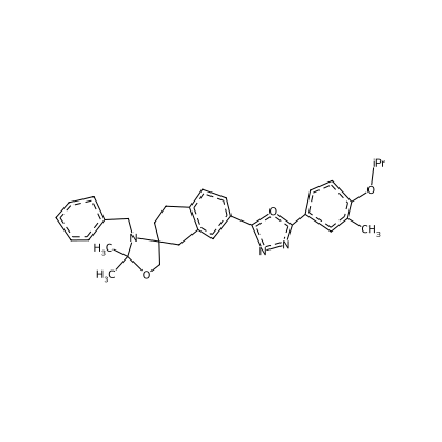 Cc1cc(-c2nnc(-c3ccc4c(c3)CC3(CC4)COC(C)(C)N3Cc3ccccc3)o2)ccc1OC(C)C